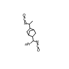 CCCC(N=C=O)C1CC2CC1CC2C(C)N=C=O